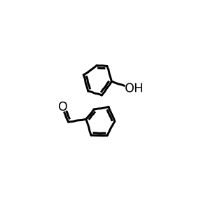 O=Cc1ccccc1.Oc1ccccc1